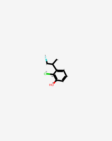 [CH2]C(CF)c1cccc(O)c1Cl